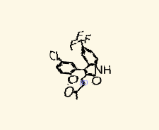 COc1ccc(Cl)cc1-c1c(/C=C/C(C)=O)c(=O)[nH]c2ccc(C(F)(F)F)cc12